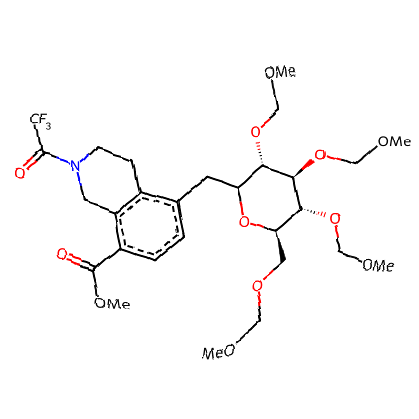 COCOC[C@H]1OC(Cc2ccc(C(=O)OC)c3c2CCN(C(=O)C(F)(F)F)C3)[C@H](OCOC)[C@@H](OCOC)[C@@H]1OCOC